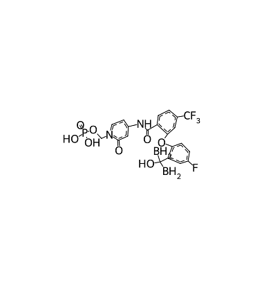 BC(B)(O)c1cc(F)ccc1Oc1cc(C(F)(F)F)ccc1C(=O)Nc1ccn(COP(=O)(O)O)c(=O)c1